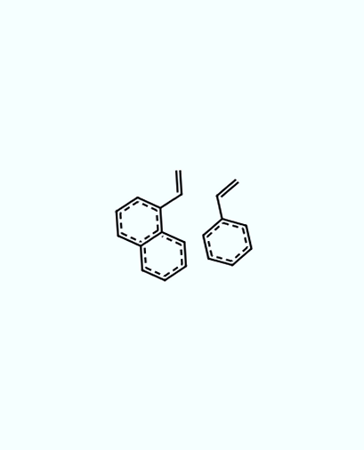 C=Cc1cccc2ccccc12.C=Cc1ccccc1